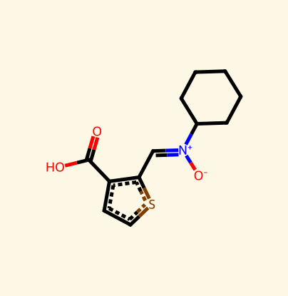 O=C(O)c1ccsc1/C=[N+](\[O-])C1CCCCC1